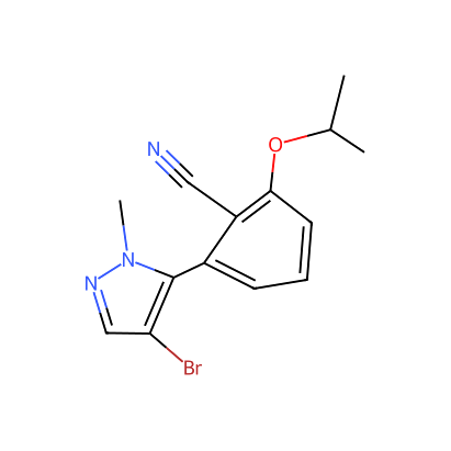 CC(C)Oc1cccc(-c2c(Br)cnn2C)c1C#N